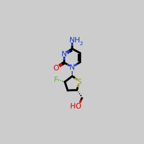 Nc1ccn([C@@H]2S[C@H](CO)C[C@@H]2F)c(=O)n1